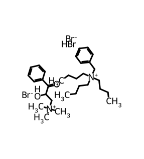 Br.CCCC[N+](CCCC)(CCCC)Cc1ccccc1.C[N+](C)(C)CC(O)C(=O)c1ccccc1.[Br-].[Br-]